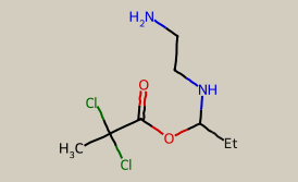 CCC(NCCN)OC(=O)C(C)(Cl)Cl